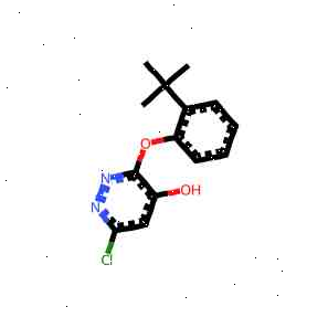 CC(C)(C)c1ccccc1Oc1nnc(Cl)cc1O